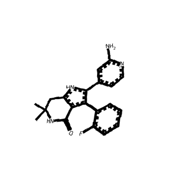 CC1(C)Cc2[nH]c(-c3ccnc(N)c3)c(-c3ccccc3F)c2C(=O)N1